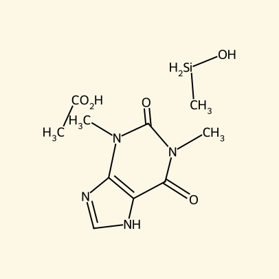 CC(=O)O.C[SiH2]O.Cn1c(=O)c2[nH]cnc2n(C)c1=O